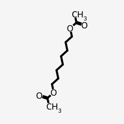 CC(=O)OCCCCCCCCOC(C)=O